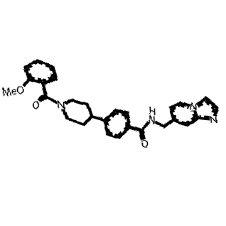 COc1ccccc1C(=O)N1CCC(c2ccc(C(=O)NCc3ccn4ccnc4c3)cc2)CC1